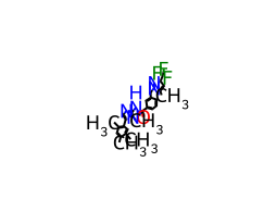 Cc1cc(C)c(-c2cnc(NC(=O)c3cccc(Cn4nc(C(F)(F)F)cc4C)c3)n2C)cc1C